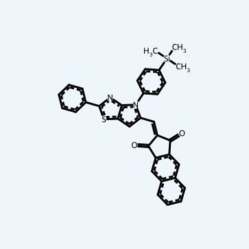 C[Si](C)(C)c1ccc(-n2c(C=C3C(=O)c4cc5ccccc5cc4C3=O)cc3sc(-c4ccccc4)nc32)cc1